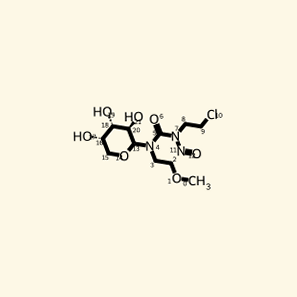 COCCN(C(=O)N(CCCl)N=O)C1OC[C@H](O)[C@H](O)[C@H]1O